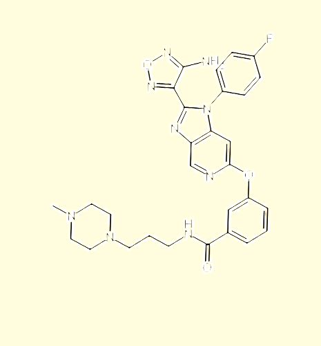 CN1CCN(CCCNC(=O)c2cccc(Oc3cc4c(cn3)nc(-c3nonc3N)n4-c3ccc(F)cc3)c2)CC1